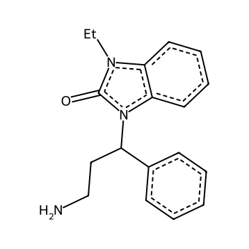 CCn1c(=O)n(C(CCN)c2ccccc2)c2ccccc21